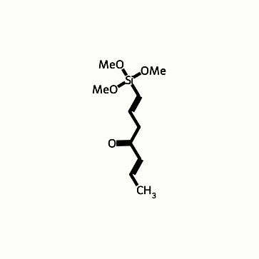 CC=CC(=O)CC=C[Si](OC)(OC)OC